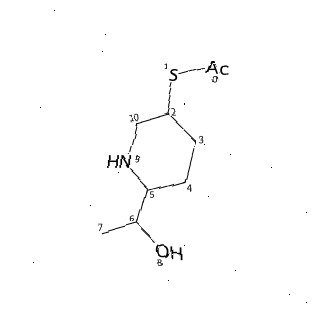 CC(=O)SC1CCC(C(C)O)NC1